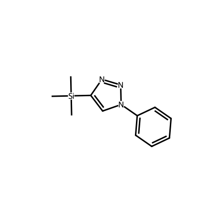 C[Si](C)(C)c1cn(-c2ccccc2)nn1